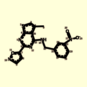 Cc1csc2nc(-c3ccno3)nc(NCc3cccc([N+](=O)[O-])c3)c12